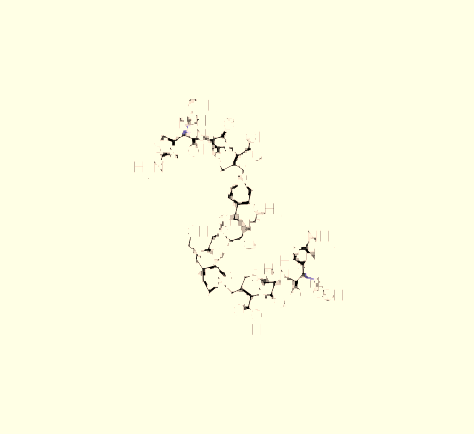 CCN(Cc1cc[n+](CC2=C(C(=O)O)N3C(=O)[C@@H](NC(=O)/C(=N\OC)c4csc(N)n4)[C@H]3SC2)cc1)C(=O)CN(C)CC(=O)N(CC)Cc1cc[n+](CC2=C(C(=O)O)N3C(=O)[C@@H](NC(=O)/C(=N\OC)c4csc(N)n4)[C@H]3SC2)cc1